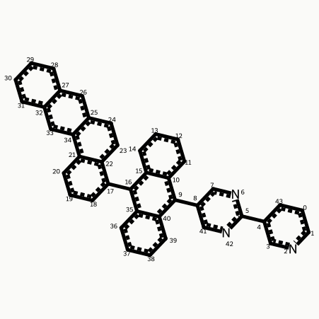 c1cncc(-c2ncc(-c3c4ccccc4c(-c4cccc5c4ccc4cc6ccccc6cc45)c4ccccc34)cn2)c1